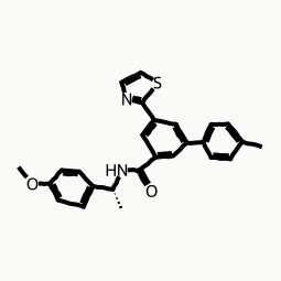 COc1ccc([C@@H](C)NC(=O)c2cc(-c3ccc(C)cc3)cc(-c3nccs3)c2)cc1